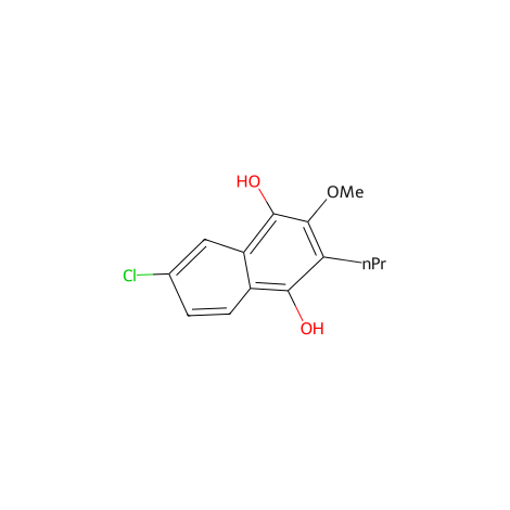 CCCc1c(OC)c(O)c2cc(Cl)ccc2c1O